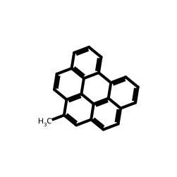 Cc1cc2ccc3cccc4c5cccc6ccc1c(c65)c2c34